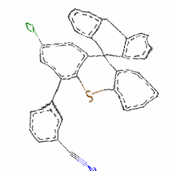 N#Cc1cccc(-c2cc(Cl)cc3c2Sc2ccccc2C32c3ccccc3-c3ccccc32)c1